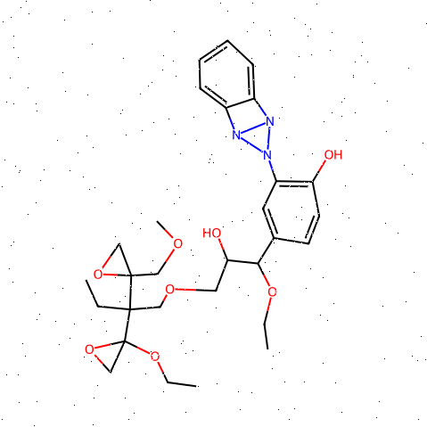 CCOC(c1ccc(O)c(-n2n3c4ccccc4n23)c1)C(O)COCC(CC)(C1(COC)CO1)C1(OCC)CO1